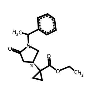 CCOC(=O)C1([C@H]2CC(=O)N(C(C)c3ccccc3)C2)CC1